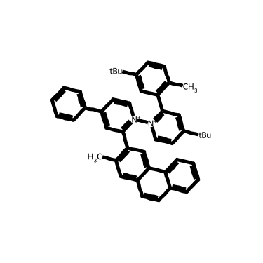 Cc1ccc(C(C)(C)C)cc1-c1cc(C(C)(C)C)cc[n+]1-[n+]1ccc(-c2ccccc2)cc1-c1cc2c(ccc3ccccc32)cc1C